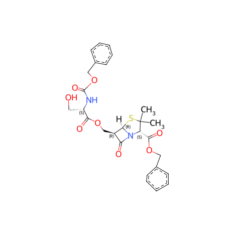 CC1(C)S[C@@H]2[C@H](COC(=O)[C@H](CO)NC(=O)OCc3ccccc3)C(=O)N2[C@H]1C(=O)OCc1ccccc1